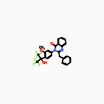 COc1cc(-n2c(Cc3ccccc3)nc3ccccc3c2=O)ccc1C(O)(C(F)(F)F)C(F)(F)F